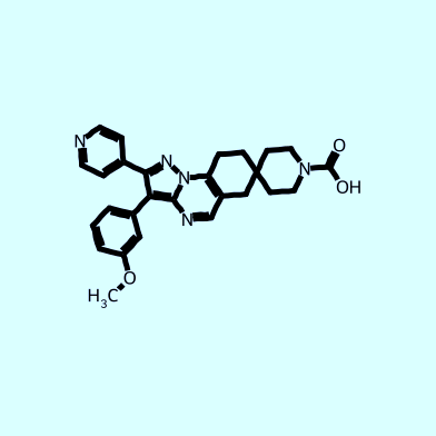 COc1cccc(-c2c(-c3ccncc3)nn3c4c(cnc23)CC2(CC4)CCN(C(=O)O)CC2)c1